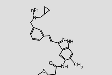 CCCN(Cc1cccc(/C=C/c2n[nH]c3cc(C)c(NC(=O)Cc4cccs4)cc23)c1)CC1CC1